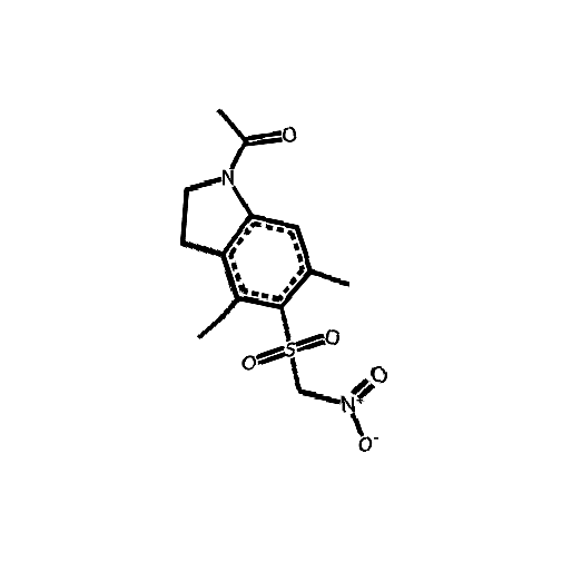 CC(=O)N1CCc2c1cc(C)c(S(=O)(=O)C[N+](=O)[O-])c2C